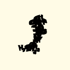 CC(=O)NC[C@H]1CN(c2ccc(NCC(=O)OC(C)(C)C)c(F)c2)C(=O)O1